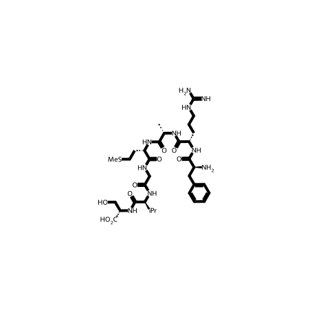 CSCC[C@H](NC(=O)[C@H](C)NC(=O)[C@H](CCCNC(=N)N)NC(=O)[C@@H](N)Cc1ccccc1)C(=O)NCC(=O)N[C@H](C(=O)N[C@@H](CO)C(=O)O)C(C)C